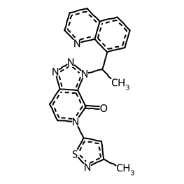 Cc1cc(-n2ccc3nnn(C(C)c4cccc5cccnc45)c3c2=O)sn1